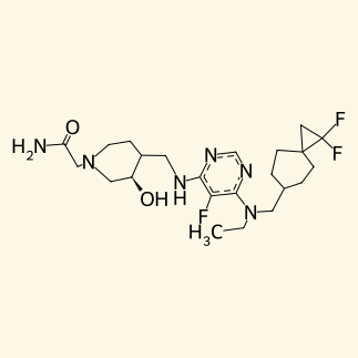 CCN(CC1CCC2(CC1)CC2(F)F)c1ncnc(NCC2CCN(CC(N)=O)C[C@@H]2O)c1F